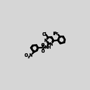 CC(C)c1ccccc1-c1cc(Cl)nc(NS(=O)(=O)c2cccc([N+](=O)[O-])c2)n1